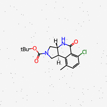 Cc1ccc(Cl)c2c1[C@H]1CN(C(=O)OC(C)(C)C)C[C@@H]1NC2=O